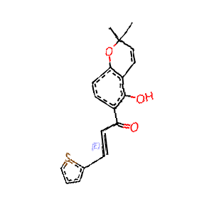 CC1(C)C=Cc2c(ccc(C(=O)/C=C/c3cccs3)c2O)O1